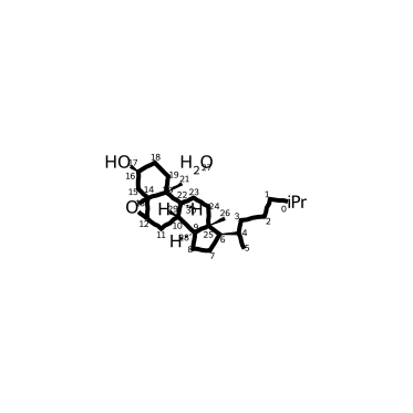 CC(C)CCCC(C)[C@H]1CC[C@H]2[C@@H]3CC4OC45C[C@@H](O)CC[C@]5(C)[C@H]3CC[C@]12C.O